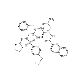 COc1ccc(S(=O)(=O)N(C[C@@H](O)[C@H](Cc2ccccc2)NC(=O)[C@H](CC(N)=O)NC(=O)c2ccc3ccccc3n2)OC2CCCC2)cc1